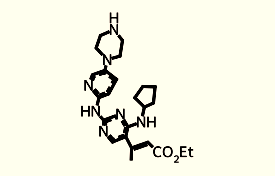 CCOC(=O)C=C(C)c1cnc(Nc2ccc(N3CCNCC3)cn2)nc1NC1CCCC1